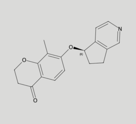 Cc1c(O[C@@H]2CCc3cnccc32)ccc2c1OCCC2=O